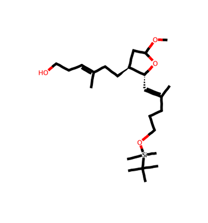 COC1C[C@H](CC/C(C)=C/CCO)[C@@H](/C=C(\C)CCCO[Si](C)(C)C(C)(C)C)O1